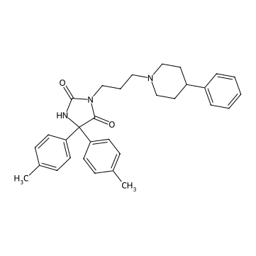 Cc1ccc(C2(c3ccc(C)cc3)NC(=O)N(CCCN3CCC(c4ccccc4)CC3)C2=O)cc1